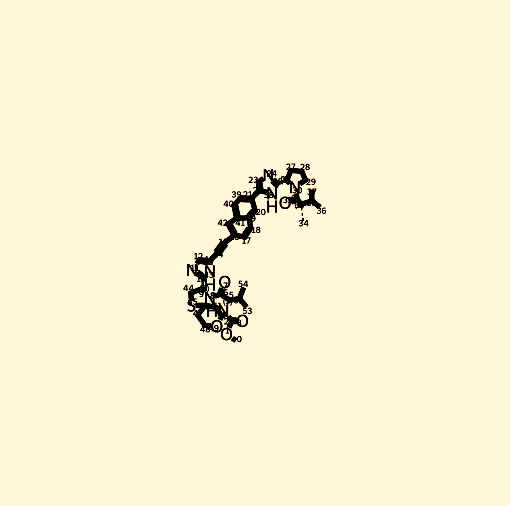 COC(=O)N[C@H](C(=O)N1[C@H](c2ncc(C#Cc3ccc4cc(-c5cnc([C@@H]6CCCN6C(=O)[C@@H](C)C(C)C)[nH]5)ccc4c3)[nH]2)CSC12CCOCC2)C(C)C